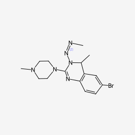 C/N=N\N1C(N2CCN(C)CC2)=Nc2ccc(Br)cc2C1C